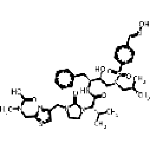 CC(C)CN(C[C@H](O)[C@H](Cc1ccccc1)NC(=O)[C@H](C(C)C)N1CCN(Cc2csc(CN(C)C(=O)O)n2)C1=O)S(=O)(=O)c1ccc(C=NO)cc1